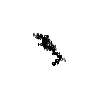 CC(C(=O)SCCNC(=O)CCNC(=O)C(O)C(C)(C)COP(=O)(O)OP(=O)(O)OCC1OC(n2cnc3c(N)ncnc32)C(O)C1OP(=O)(O)O)c1ccc(-c2ccccc2)c(F)c1